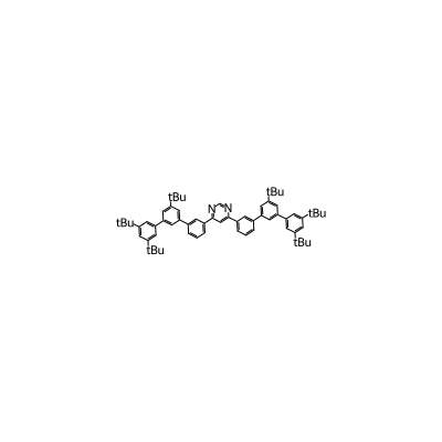 CC(C)(C)c1cc(-c2cccc(-c3cc(-c4cccc(-c5cc(-c6cc(C(C)(C)C)cc(C(C)(C)C)c6)cc(C(C)(C)C)c5)c4)ncn3)c2)cc(-c2cc(C(C)(C)C)cc(C(C)(C)C)c2)c1